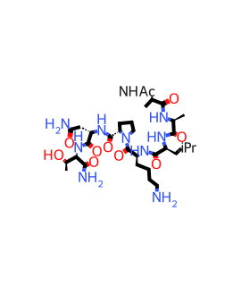 CC(=O)N[C@@H](C)C(=O)N[C@@H](C)C(=O)N[C@@H](CC(C)C)C(=O)N[C@@H](CCCCN)C(=O)N1CCC[C@H]1C(=O)N[C@@H](CC(N)=O)C(=O)N[C@H](C(N)=O)[C@@H](C)O